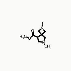 COC(=O)C1CN(C)CC12CN(I)C2